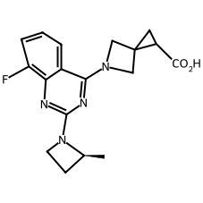 C[C@H]1CCN1c1nc(N2CC3(CC3C(=O)O)C2)c2cccc(F)c2n1